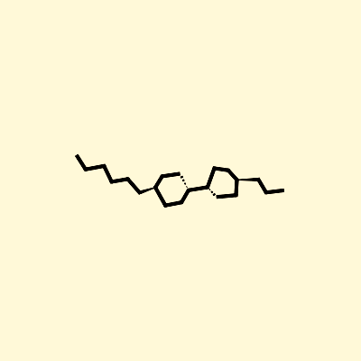 CCCCCC[C@H]1CC[C@H]([C@H]2CC[C@H](CCC)CC2)CC1